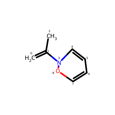 C=C(C)N1C=CC=CO1